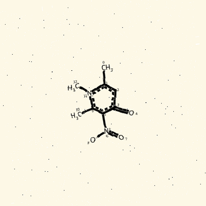 Cc1cc(=O)c([N+](=O)[O-])c(C)n1C